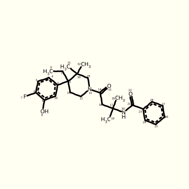 CCC1(c2ccc(F)c(O)c2)CCN(C(=O)CC(C)(C)NC(=O)c2ccccc2)CC1(C)C